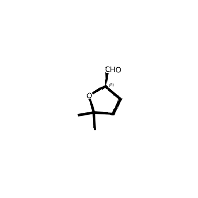 CC1(C)CC[C@H](C=O)O1